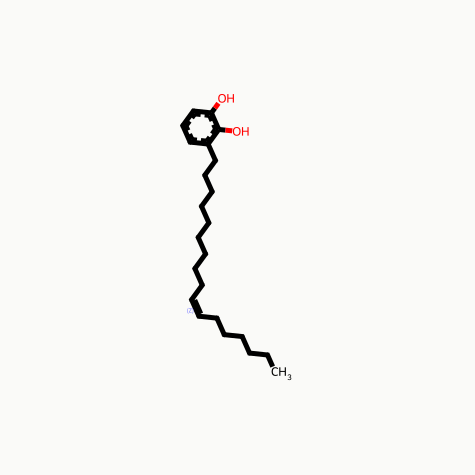 CCCCCC/C=C\CCCCCCCCCc1cccc(O)c1O